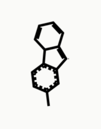 Cc1ccc2c(c1)[C]=C1C=CC=CC12